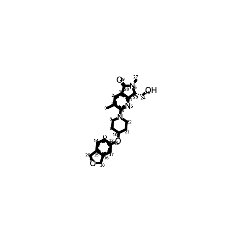 Cc1cc2c(nc1N1CCC(Oc3ccc4c(c3)COC4)CC1)[C@@H](CO)N(C)C2=O